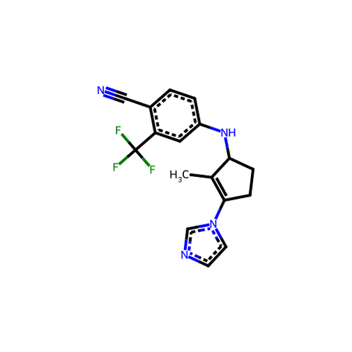 CC1=C(n2ccnc2)CCC1Nc1ccc(C#N)c(C(F)(F)F)c1